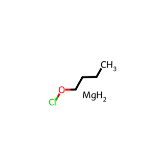 CCCCOCl.[MgH2]